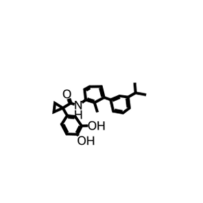 Cc1c(NC(=O)C2(c3ccc(O)c(O)c3)CC2)cccc1-c1cccc(C(C)C)c1